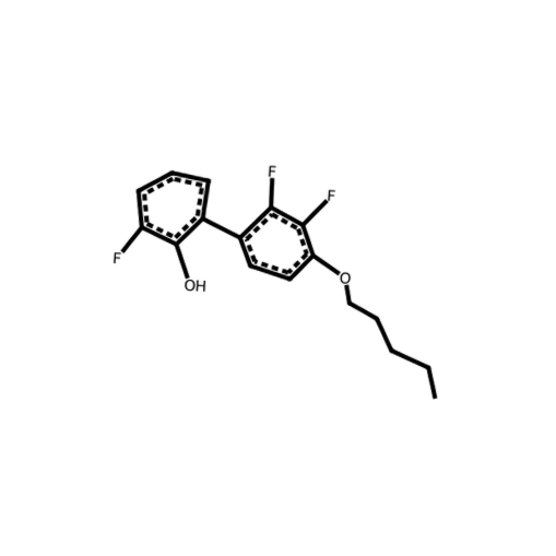 CCCCCOc1ccc(-c2cccc(F)c2O)c(F)c1F